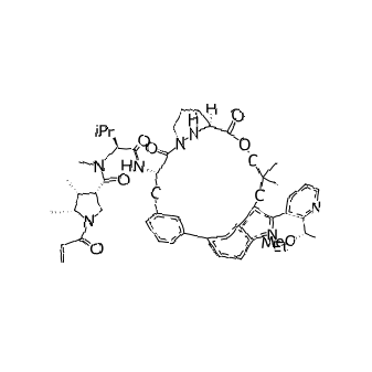 C=CC(=O)N1C[C@@H](C(=O)N(C)[C@H](C(=O)N[C@H]2Cc3cccc(c3)-c3ccc4c(c3)c(c(-c3cccnc3[C@H](C)OC)n4CC)CC(C)(C)COC(=O)[C@@H]3CCCN(N3)C2=O)C(C)C)[C@@H](C)[C@H]1C